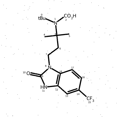 CC(C)(C)N(C(=O)O)C(C)(C)CCn1c(=O)[nH]c2cc(C(F)(F)F)ccc21